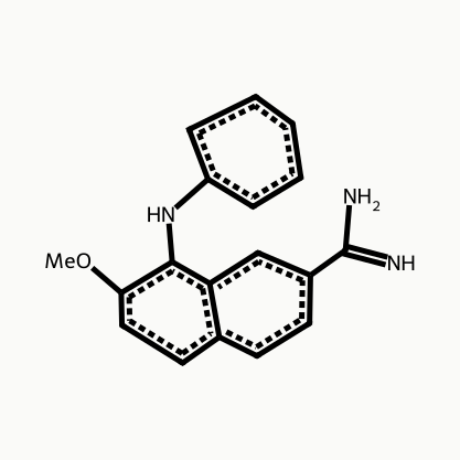 COc1ccc2ccc(C(=N)N)cc2c1Nc1ccccc1